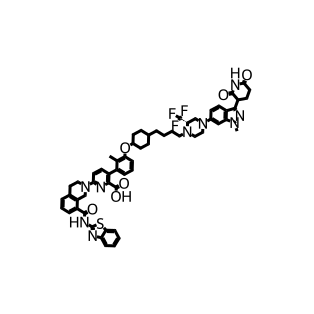 Cc1c(OC2CCC(CCCCN3CCN(c4ccc5c(C6CCC(=O)NC6=O)nn(C)c5c4)C[C@H]3C(F)(F)F)CC2)cccc1-c1ccc(N2CCc3cccc(C(=O)Nc4nc5ccccc5s4)c3C2)nc1C(=O)O